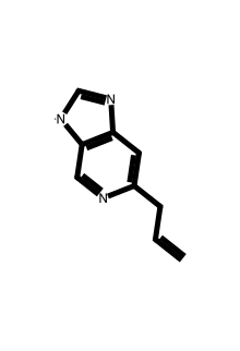 C=CCc1cc2c(cn1)[N]C=N2